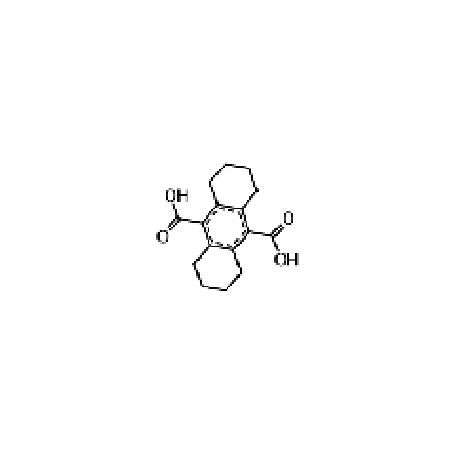 O=C(O)c1c2c(c(C(=O)O)c3c1CCCC3)CCCC2